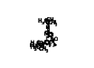 CC1(C)OB(c2cc(F)c(C3C(C4CC4)C(=O)N3c3ccc4c(c3)ncn4COCC[Si](C)(C)C)c(F)c2)OC1(C)C